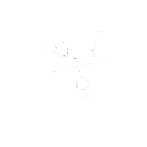 CCCCOCCN(CC)C(=O)N1CC(c2ccc3c(c2)OCO3)C(C(=O)O)C1c1ccc(OC)cc1